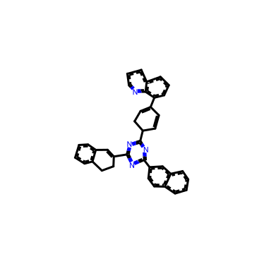 C1=CC(c2nc(C3=Cc4ccccc4CC3)nc(-c3ccc4ccccc4c3)n2)CC=C1c1cccc2cccnc12